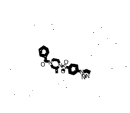 CC1CN(C(=O)c2ccccc2)CCN1S(=O)(=O)c1ccc(-n2ccnn2)cc1